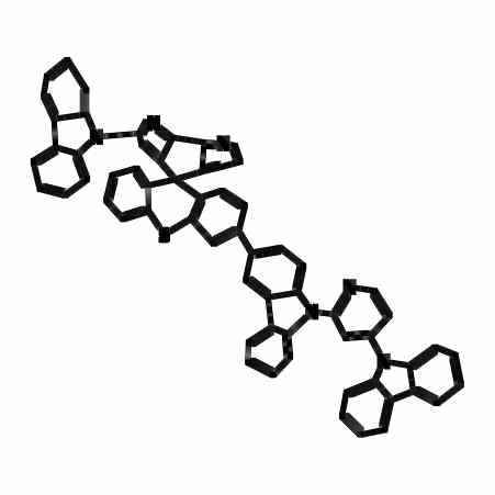 c1ccc2c(c1)Sc1cc(-c3ccc4c(c3)c3ccccc3n4-c3cc(-n4c5ccccc5c5ccccc54)ccn3)ccc1C21c2cccnc2-c2ncc(-n3c4ccccc4c4ccccc43)cc21